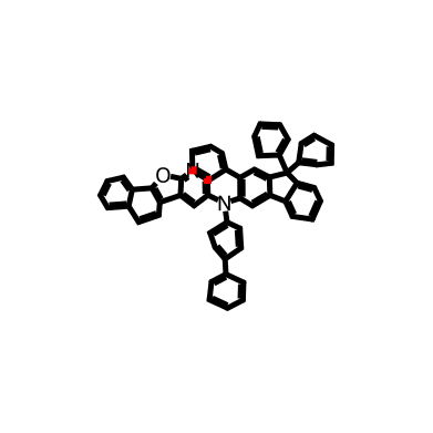 c1ccc(-c2ccc(N(c3cnc4oc5c6ccccc6ccc5c4c3)c3cc4c(cc3-c3ccccc3)C(c3ccccc3)(c3ccccc3)c3ccccc3-4)cc2)cc1